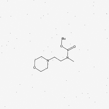 CCC(C)OC(=O)N(C)CCN1CCOCC1